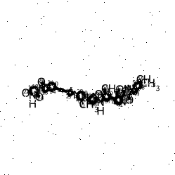 C[C@H]1CN(C2CC(C#Cc3ccc4c(c3)CN(C3CCC(=O)NC3=O)C4=O)C2)CCN1c1ccc(Nc2cc(-c3ccnc(N4CCn5c(cc6c5CC(C)(C)C6)C4=O)c3CO)cn(C)c2=O)nc1